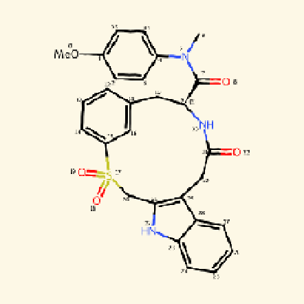 COc1ccc(N(C)C(=O)[C@@H]2Cc3cccc(c3)S(=O)(=O)Cc3[nH]c4ccccc4c3CC(=O)N2)cc1